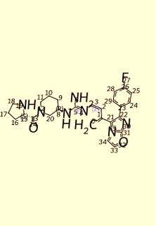 C=C(/C=C\N=C(/N)N[C@@H]1CCCN(C(=O)[C@@H]2CCCN2)C1)c1c(-c2ccc(F)cc2)nc2occn12